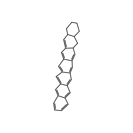 C1=C2C=c3cc4cc5cc6ccccc6cc5cc4cc3=CC2CC2CCCCC12